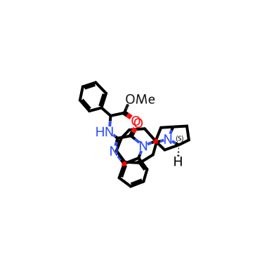 COC(=O)C(Nc1nc2ccccc2n(C2CC3CC[C@@H](C2)N3C2CCCCCCC2)c1=O)c1ccccc1